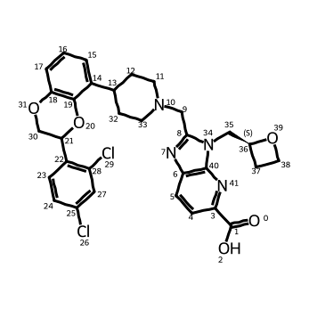 O=C(O)c1ccc2nc(CN3CCC(c4cccc5c4OC(c4ccc(Cl)cc4Cl)CO5)CC3)n(C[C@@H]3CCO3)c2n1